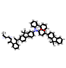 C=C(/C=C\C=C/CC)c1ccccc1C(=C)c1ccc2c(c1)C(C)(C)c1cc(N(c3ccc(-c4ccc5c(c4)C(C)(C)c4ccccc4-5)cc3)c3ccccc3-c3ccccc3)ccc1-2